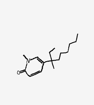 CCCCCCC(C)(CC)c1ccc(=O)n(C)c1